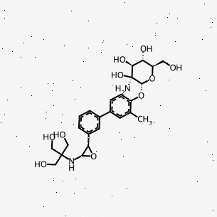 Cc1cc(-c2cccc(C3OC3NC(CO)(CO)CO)c2)ccc1O[C@H]1O[C@H](CO)[C@@H](O)[C@H](O)[C@]1(N)O